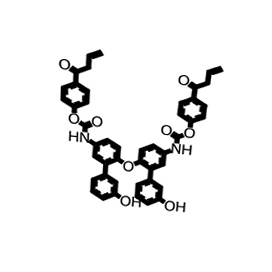 C=CCC(=O)c1ccc(OC(=O)Nc2ccc(Oc3ccc(NC(=O)Oc4ccc(C(=O)CC=C)cc4)cc3-c3cccc(O)c3)c(-c3cccc(O)c3)c2)cc1